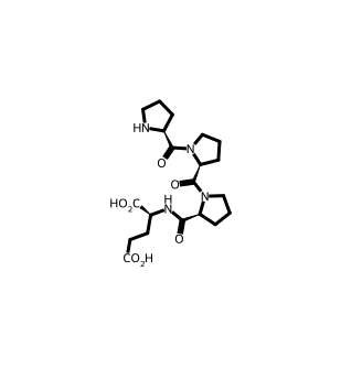 O=C(O)CC[C@H](NC(=O)[C@@H]1CCCN1C(=O)[C@@H]1CCCN1C(=O)[C@@H]1CCCN1)C(=O)O